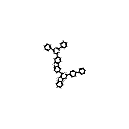 c1ccc(-c2ccc(-c3nc(-c4ccc5oc6cc(-c7nc(-c8ccccc8)nc(-c8ccccc8)n7)ccc6c5c4)c4sc5ccccc5c4n3)cc2)cc1